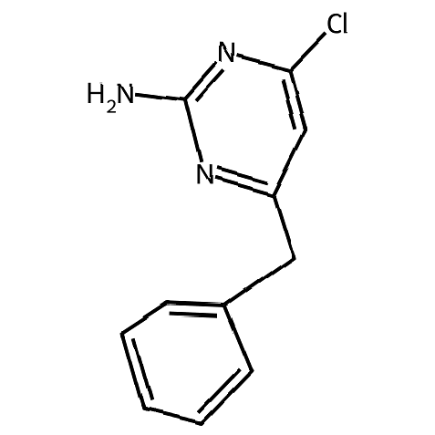 Nc1nc(Cl)cc(Cc2ccccc2)n1